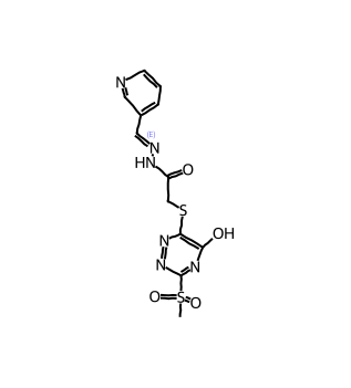 CS(=O)(=O)c1nnc(SCC(=O)N/N=C/c2cccnc2)c(O)n1